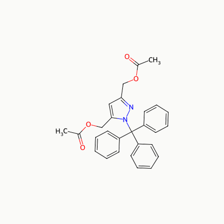 CC(=O)OCc1cc(COC(C)=O)n(C(c2ccccc2)(c2ccccc2)c2ccccc2)n1